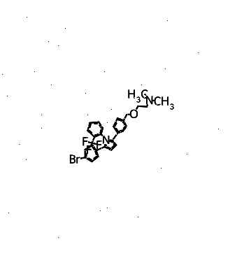 CN(C)CCOCc1ccc(-c2ccc(-c3ccc(Br)cc3)n2-c2ccccc2C(F)(F)F)cc1